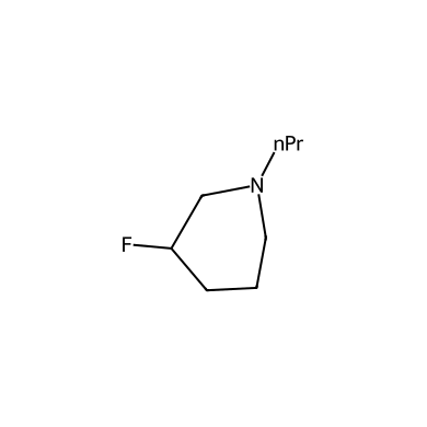 [CH2]CCN1CCCC(F)C1